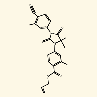 C=CCOC(=O)c1ccc(N2C(=S)N(c3ccc(C#N)c(C)c3)C(=O)C2(C)C)cc1F